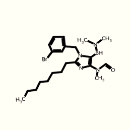 CCCCCCCCc1nc(N(C)C=O)c(BN(C)C)n1Cc1cccc(Br)c1